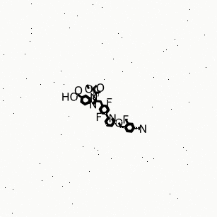 CO[C@H]1COC[C@H]1n1c(Cc2cc(F)c(-c3cccc(OCc4ccc(C#N)cc4F)n3)cc2F)nc2ccc(C(=O)O)cc21